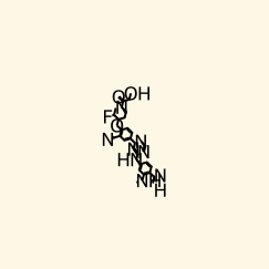 CNc1cc(Nc2ncnc(-c3ccc(OC4CCN(C(=O)CO)CC4F)c(C#N)c3)n2)ccc1C(C)=N